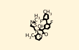 Cc1ccc(-c2cc(-c3c(O)[n+](Cc4cnc(C)s4)c4c(C)cccn4c3=O)ccc2F)c(F)c1